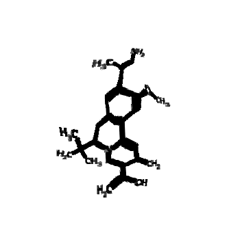 C=C(O)C1=CN2C(=CC1=C)c1cc(OC)c(/C(C)=C/N)cc1CC2C(C)(C)C